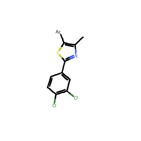 CC(=O)c1sc(-c2ccc(Cl)c(Cl)c2)nc1C